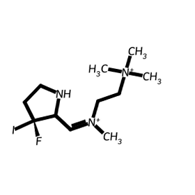 C/[N+](=C/C1NCC[C@@]1(F)I)CC[N+](C)(C)C